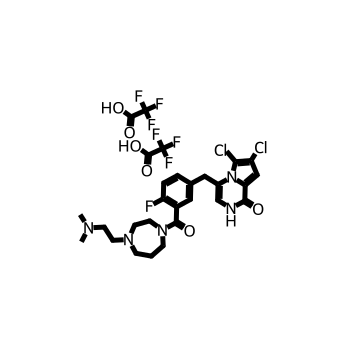 CN(C)CCN1CCCN(C(=O)c2cc(Cc3c[nH]c(=O)c4cc(Cl)c(Cl)n34)ccc2F)CC1.O=C(O)C(F)(F)F.O=C(O)C(F)(F)F